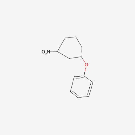 O=[N+]([O-])C1CCCC(Oc2ccccc2)C1